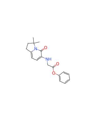 CC1(C)CCc2ccc(NCC(=O)Oc3ccccc3)c(=O)n21